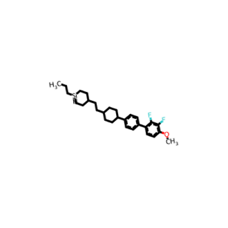 CCC[SiH]1CCC(CCC2CCC(c3ccc(-c4ccc(OC)c(F)c4F)cc3)CC2)CC1